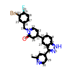 Cc1cc(-c2n[nH]c3ccc(-c4ccn(Cc5ccc(F)c(Br)c5)c(=O)c4)cc23)ccn1